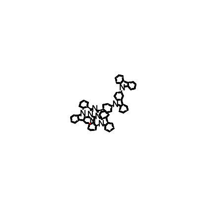 c1ccc(-n2c3ccccc3c3ccccc32)c(-c2nc(-c3ccc(-n4c5ccccc5c5cc(-n6c7ccccc7c7ccccc76)ccc54)cc3)nc(-c3ccccc3-n3c4ccccc4c4ccncc43)n2)c1